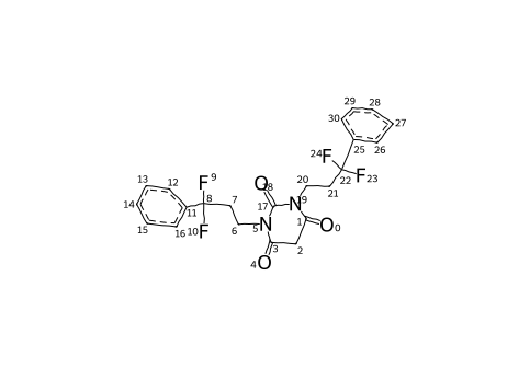 O=C1CC(=O)N(CCC(F)(F)c2ccccc2)C(=O)N1CCC(F)(F)c1ccccc1